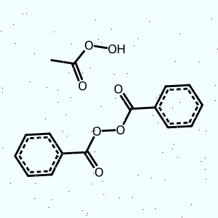 CC(=O)OO.O=C(OOC(=O)c1ccccc1)c1ccccc1